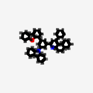 c1ccc(-c2cc(-c3cc(-c4cccc5c4oc4ccccc45)cc(-n4c5ccccc5c5ccccc54)c3)nc3ccc4ccccc4c23)cc1